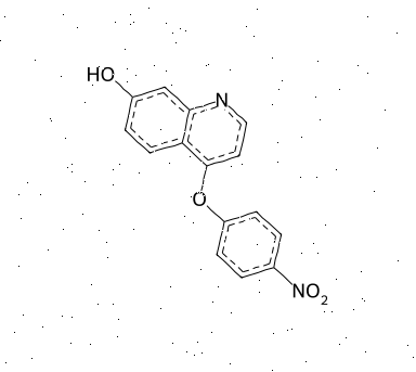 O=[N+]([O-])c1ccc(Oc2ccnc3cc(O)ccc23)cc1